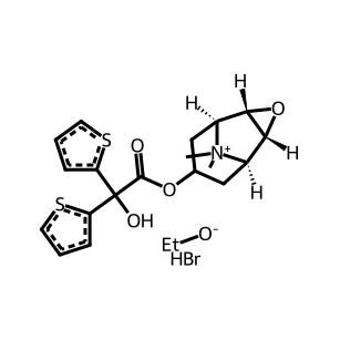 Br.CC[O-].C[N+]1(C)[C@@H]2CC(OC(=O)C(O)(c3cccs3)c3cccs3)C[C@H]1[C@@H]1O[C@@H]12